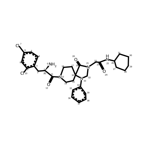 N[C@H](Cc1ccc(Cl)cc1Cl)C(=O)N1CCC2(CC1)C(=O)N(CC(=O)NC1CCCCC1)CN2c1ccccc1